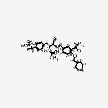 CC(=O)N[C@@H](Cc1ccc(C(F)(F)P(=O)(O)O)cc1)C(=O)NCc1ccc(OCC2CCCCC2)c(C(N)=O)c1